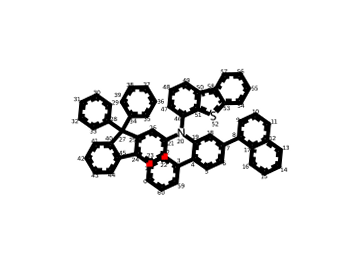 c1ccc(-c2ccc(-c3cccc4ccccc34)cc2N(c2ccc3c(c2)C(c2ccccc2)(c2ccccc2)c2ccccc2-3)c2cccc3c2sc2ccccc23)cc1